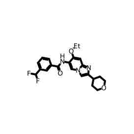 CCOc1cc2nc(C3CCOCC3)cn2cc1NC(=O)c1cccc(C(F)F)c1